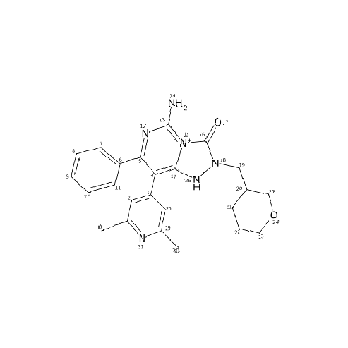 Cc1cc(-c2c(-c3ccccc3)nc(N)[n+]3c(=O)n(CC4CCCOC4)[nH]c23)cc(C)n1